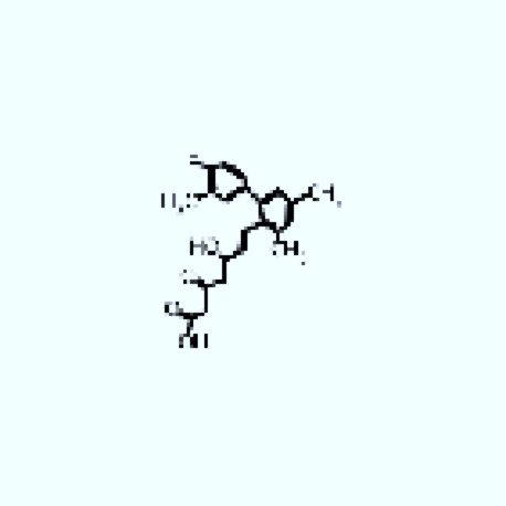 Cc1cc(C)c(C=CC(O)CC(=O)CC(=O)O)c(-c2ccc(F)c(C)c2)c1